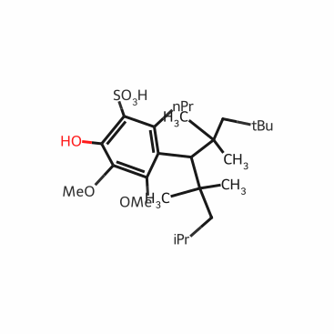 CCCc1c(C(C(C)(C)CC(C)C)C(C)(C)CC(C)(C)C)c(OC)c(OC)c(O)c1S(=O)(=O)O